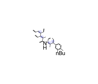 C=C/C=C(C=C)\C(C=C)=C(/C)C(=C)N/C(C=C)=C(C)/C(=C\C)c1ccc(C)c(CCCC)c1